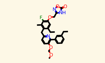 CCc1cccc(-c2nc(Cc3c(CC)cc(OCc4noc(=O)[nH]4)c(F)c3C)ccc2OCOC)c1